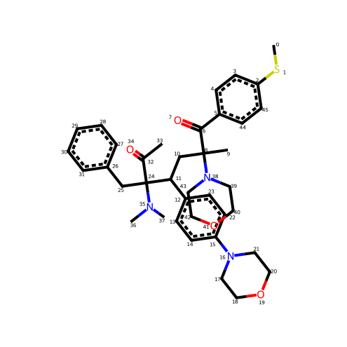 CSc1ccc(C(=O)C(C)(CC(c2ccc(N3CCOCC3)cc2)C(Cc2ccccc2)(C(C)=O)N(C)C)N2CCOCC2)cc1